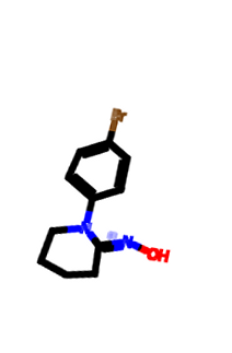 O/N=C1\CCCCN1c1ccc(Br)cc1